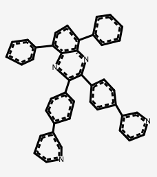 c1ccc(-c2ccc(-c3ccccc3)c3nc(-c4ccc(-c5cccnc5)cc4)c(-c4ccc(-c5cccnc5)cc4)nc23)cc1